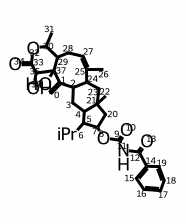 C=C1C2CC3C(C(C)C)C(OC(=O)NC(=O)c4ccccc4)CC3(C)CC2/C(C)=C\CC2C(C)OC(=O)C(O)C12O